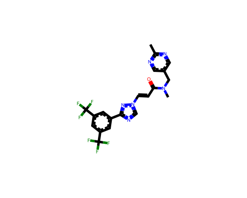 Cc1ncc(CN(C)C(=O)C=Cn2cnc(-c3cc(C(F)(F)F)cc(C(F)(F)F)c3)n2)cn1